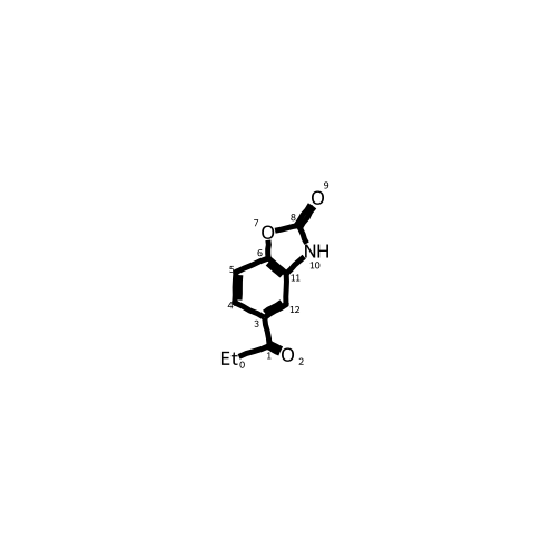 CCC(=O)c1ccc2oc(=O)[nH]c2c1